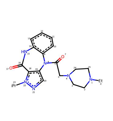 CCN1CCN(CC(=O)N2c3ccccc3NC(=O)c3c2cnn3C(C)C)CC1